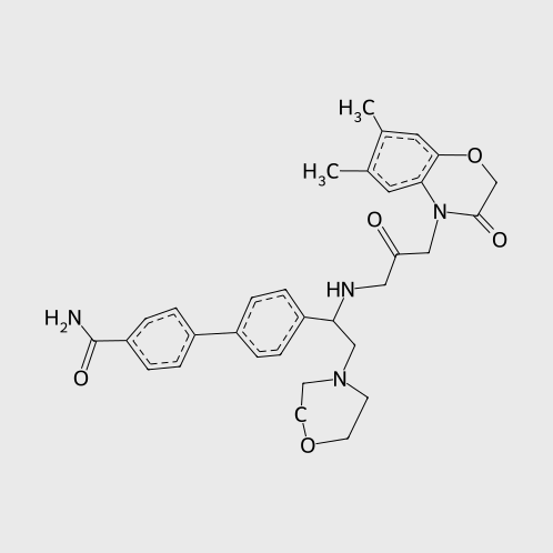 Cc1cc2c(cc1C)N(CC(=O)CNC(CN1CCOCC1)c1ccc(-c3ccc(C(N)=O)cc3)cc1)C(=O)CO2